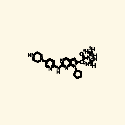 [2H]C([2H])([2H])N(C(=O)Oc1cc2cnc(Nc3ccc(N4CCNCC4)cn3)nc2n1C1CCCC1)C([2H])([2H])[2H]